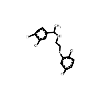 CC(NCCSc1cc(Cl)ccc1Cl)c1ccc(Cl)c(Cl)c1